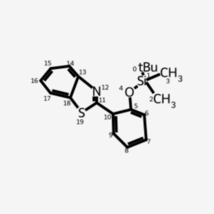 CC(C)(C)[Si](C)(C)Oc1ccccc1-c1nc2ccccc2s1